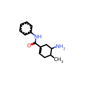 CC1CC=C(C(=O)Nc2ccccc2)CC1N